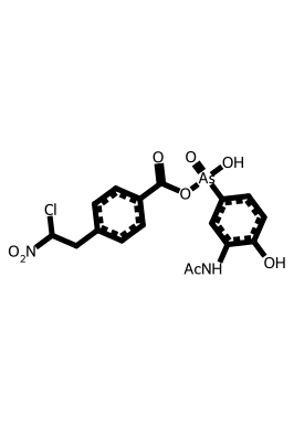 CC(=O)Nc1cc([As](=O)(O)OC(=O)c2ccc(CC(Cl)[N+](=O)[O-])cc2)ccc1O